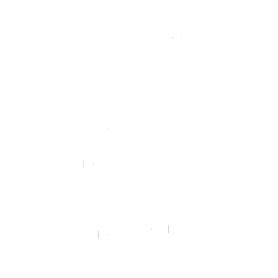 C=CC(=O)OCCC(=CCC(C)O)C(=O)O